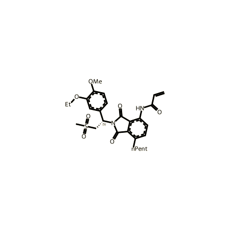 C=CC(=O)Nc1ccc(CCCCC)c2c1C(=O)N([C@H](CS(C)(=O)=O)c1ccc(OC)c(OCC)c1)C2=O